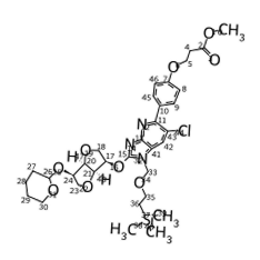 COC(=O)CCOc1ccc(-c2nc3nc(O[C@@H]4CO[C@H]5[C@@H]4OC[C@H]5OC4CCCCO4)n(COCC[Si](C)(C)C)c3cc2Cl)cc1